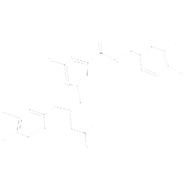 CC(=O)c1ccc([C@H](C)N(CC(N)=O)Cc2cc(C(=O)NCc3ccc(F)c(C)c3)nc(N)n2)cc1C